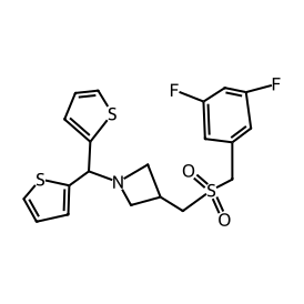 O=S(=O)(Cc1cc(F)cc(F)c1)CC1CN(C(c2cccs2)c2cccs2)C1